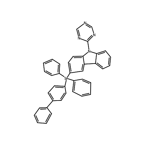 c1ccc(-c2ccc([Si](c3ccccc3)(c3ccccc3)c3ccc4c(c3)c3ccccc3n4-c3ncncn3)cc2)cc1